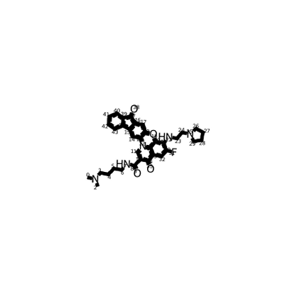 CN(C)CCCCNC(=O)c1cn2c3cc4c(cc3oc3c(NCCN5CCCC5)c(F)cc(c1=O)c32)c(=O)c1ccccc14